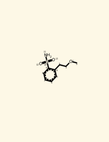 COCCc1ccccc1S(N)(=O)=O